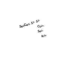 [Cu+2].[Ga+3].[In+3].[S-2].[S-2].[Se-2].[Se-2]